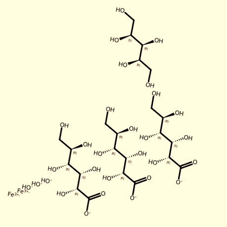 O=C([O-])[C@H](O)[C@@H](O)[C@H](O)[C@H](O)CO.O=C([O-])[C@H](O)[C@@H](O)[C@H](O)[C@H](O)CO.O=C([O-])[C@H](O)[C@@H](O)[C@H](O)[C@H](O)CO.OC[C@@H](O)[C@H](O)[C@@H](O)CO.[Fe+3].[Fe+3].[OH-].[OH-].[OH-]